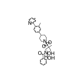 Cc1cc(C2CCN(S(=O)(=O)C(C)(CO)CNC(=O)c3ccccc3O)CC2)ccc1-c1nccs1